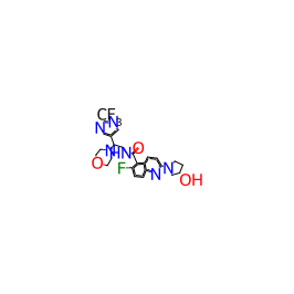 O=C(NCC(c1cnc(C(F)(F)F)nc1)N1CCOCC1)c1c(F)ccc2nc(N3CC[C@@H](O)C3)ccc12